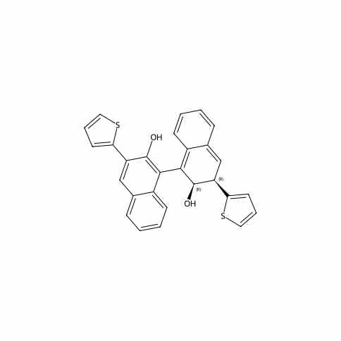 Oc1c(-c2cccs2)cc2ccccc2c1C1=c2ccccc2=C[C@@H](c2cccs2)[C@H]1O